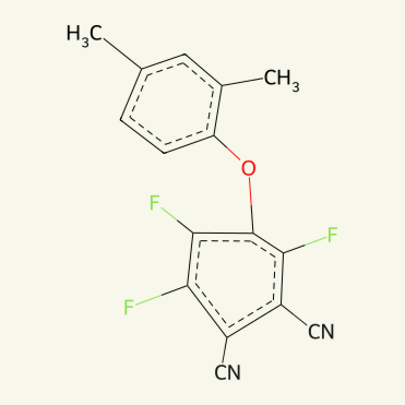 Cc1ccc(Oc2c(F)c(F)c(C#N)c(C#N)c2F)c(C)c1